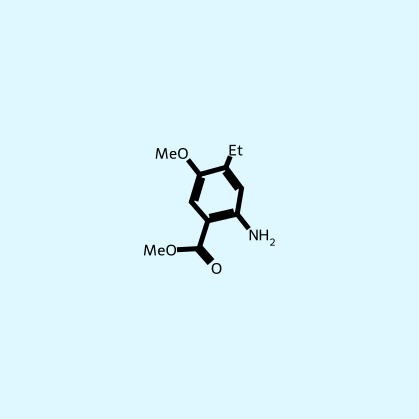 CCc1cc(N)c(C(=O)OC)cc1OC